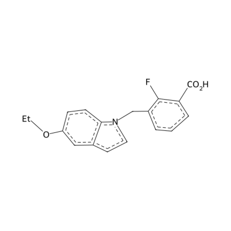 CCOc1ccc2c(ccn2Cc2cccc(C(=O)O)c2F)c1